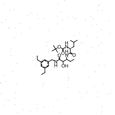 CCc1cc(CC)cc(CNC(=O)C(O)C(CC)NC(=O)[C@H](CC(C)C)NC(=O)OC(C)(C)C)c1